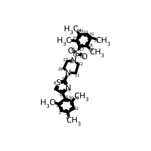 Cc1cc(C)c(-c2csc(N3CCN(S(=O)(=O)c4c(C)c(C)cc(C)c4C)CC3)n2)c(C)c1